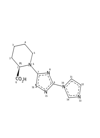 O=C(O)[C@H]1CCCCN1c1nc(-n2ccnc2)ns1